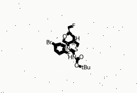 CC(C)(C)OC(=O)NC1=N[C@@]2(c3cc(Br)ccc3F)CO[C@@H](CF)C[C@H]2CS1